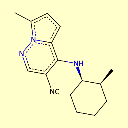 [C-]#[N+]c1cnn2c(C)ccc2c1N[C@@H]1CCCC[C@@H]1C